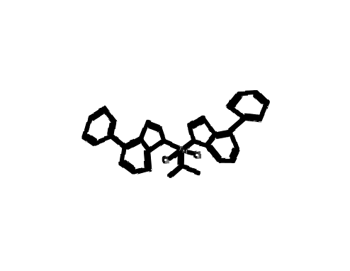 C[C](C)=[Zr]([Cl])([Cl])([CH]1C=Cc2c(-c3ccccc3)cccc21)[CH]1C=Cc2c(-c3ccccc3)cccc21